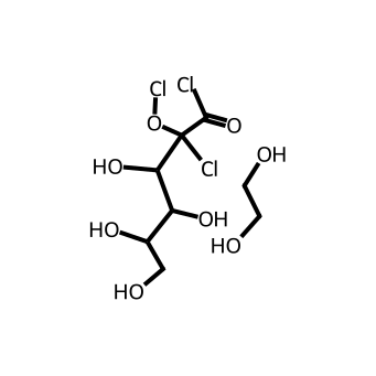 O=C(Cl)C(Cl)(OCl)C(O)C(O)C(O)CO.OCCO